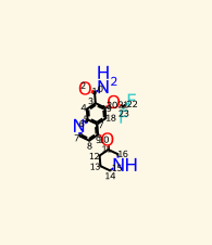 NC(=O)c1cc2nccc(OC3CCCNC3)c2cc1OC(F)F